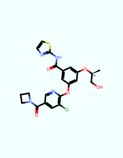 C[C@@H](CO)Oc1cc(Oc2ncc(C(=O)N3CCC3)cc2Cl)cc(C(=O)Nc2nccs2)c1